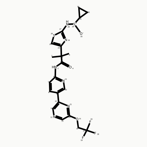 CC(C)(C(=O)Nc1ccc(-c2cncc(OCC(F)(F)F)n2)cn1)c1csc(N[S+]([O-])C2CC2)n1